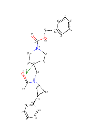 CC(=O)N(CC1(F)CCN(C(=O)OCc2ccccc2)CC1)[C@@H]1C[C@H]1c1ccccc1